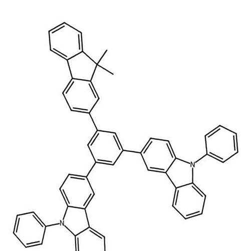 CC1(C)c2ccccc2-c2ccc(-c3cc(-c4ccc5c(c4)c4ccccc4n5-c4ccccc4)cc(-c4ccc5c(c4)c4ccccc4n5-c4ccccc4)c3)cc21